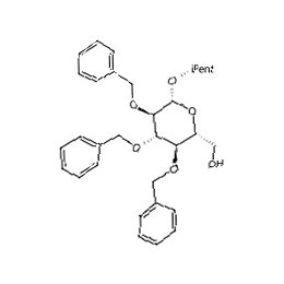 CCC[C@@H](C)O[C@@H]1O[C@H](CO)[C@@H](OCc2ccccc2)[C@H](OCc2ccccc2)[C@H]1OCc1ccccc1